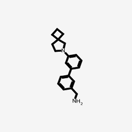 NCc1cccc(-c2cccc(N3CCC4(CCC4)C3)c2)c1